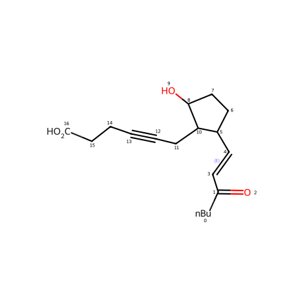 CCCCC(=O)/C=C/C1CCC(O)C1CC#CCCC(=O)O